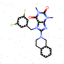 Cn1c(=O)c2c(nc(N3CCc4ccccc4C3)n2Cc2cc(F)cc(F)c2)n(C)c1=O